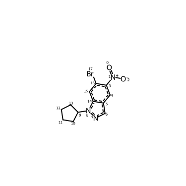 O=[N+]([O-])c1cc2cnn(C3CCCC3)c2cc1Br